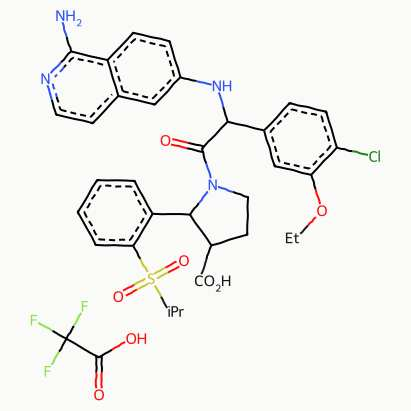 CCOc1cc(C(Nc2ccc3c(N)nccc3c2)C(=O)N2CCC(C(=O)O)C2c2ccccc2S(=O)(=O)C(C)C)ccc1Cl.O=C(O)C(F)(F)F